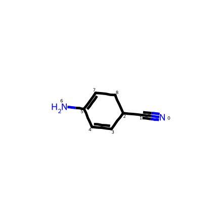 N#CC1C=CC(N)=CC1